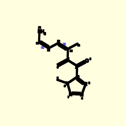 C=C(C(=O)c1nnnn1C)/C(C)=C\C=C/N